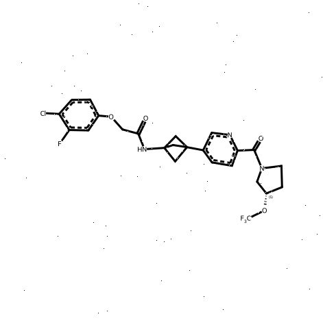 O=C(COc1ccc(Cl)c(F)c1)NC12CC(c3ccc(C(=O)N4CC[C@H](OC(F)(F)F)C4)nc3)(C1)C2